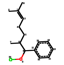 CC(C)=CCCC(C)C(OCl)c1ccccc1